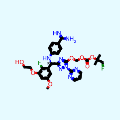 COc1cc(OCCO)c(F)c([C@@H](Nc2ccc(C(=N)N)cc2)c2nc(OCOC(=O)OC(C)(C)CF)n(-c3ncccn3)n2)c1